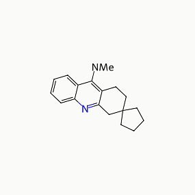 CNc1c2c(nc3ccccc13)CC1(CCCC1)CC2